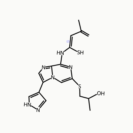 C=C(C)/C=C(\S)Nc1nc(SCC(C)O)cn2c(-c3cn[nH]c3)cnc12